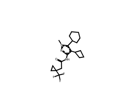 Cn1nc(NC(=O)CC2(C(F)(F)F)CC2)c(C2CCC2)c1C1CCCCC1